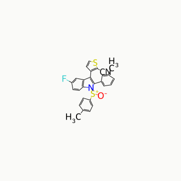 Cc1ccc([S+]([O-])n2c(-c3cccc(C)c3)c(-c3ccsc3C#N)c3cc(F)ccc32)cc1